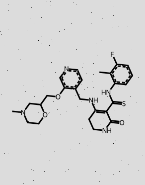 Cc1c(F)cccc1NC(=S)C1=C(NCc2ccncc2OCC2CN(C)CCO2)CCNC1=O